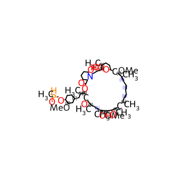 CO[C@H]1CC2CC[C@@H](C)[C@@](O)(O2)C(=O)C(=O)N2CCCCC2C(=O)O[C@H]([C@H](C)C[C@@H]2CCC(OC[PH](C)=O)[C@H](OC)C2)CC(=O)[C@H](C)/C=C(\C)[C@@H](O)[C@@H](OC)C(=O)[C@H](C)C[C@H](C)/C=C/C=C/C=C/1C